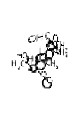 C=C(CO)[C@@H]1CC[C@]2(COC3CCCCO3)CC[C@]3(C)[C@H](CC[C@@H]4[C@@]5(C)C=C(C=O)C(=O)C(C)(C)[C@@H]5CC[C@]43C)[C@@H]12